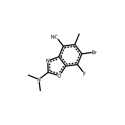 Cc1c(Br)c(F)c2oc(N(C)C)nc2c1C#N